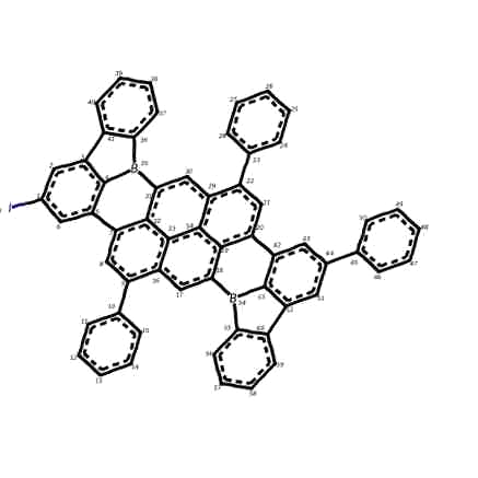 Ic1cc2c3c(c1)-c1cc(-c4ccccc4)c4cc5c6c(cc(-c7ccccc7)c7cc(c1c4c76)B3c1ccccc1-2)-c1cc(-c2ccccc2)cc2c1B5c1ccccc1-2